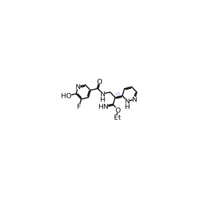 CCOC(=N)/C(CNC(=O)c1cnc(O)c(F)c1)=C1/C=CC=NN1